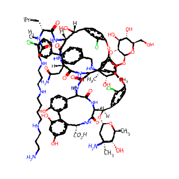 CC(C)C[C@H](C(=O)N[C@H]1C(=O)N[C@@H](CC(N)=O)C(=O)N[C@H]2C(=O)N[C@H]3C(=O)N[C@H](C(=O)N[C@H](C(=O)O)c4cc(O)cc(O)c4-c4cc3ccc4O)[C@H](O[C@H]3C[C@](C)(N)[C@@H](O)[C@H](C)O3)c3ccc(c(Cl)c3)Oc3cc2cc(c3O[C@@H]2O[C@H](CO)[C@@H](O)[C@H](O)[C@H]2O[C@H]2C[C@](C)(NCc3ccc(-c4ccc(Cl)cc4)cc3)[C@@H](O)[C@H](C)O2)Oc2ccc(cc2Cl)[C@H]1O)N(C)C(=O)CNCCCNCCCCNCCCN